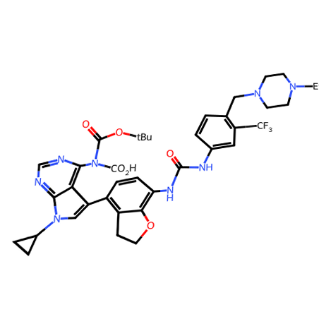 CCN1CCN(Cc2ccc(NC(=O)Nc3ccc(-c4cn(C5CC5)c5ncnc(N(C(=O)O)C(=O)OC(C)(C)C)c45)c4c3OCC4)cc2C(F)(F)F)CC1